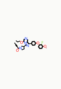 CC#CC(=O)N1CCC(c2nc(-c3ccc(Oc4cccc(OC)c4F)cc3)c3cncc(OCCC)n23)C1